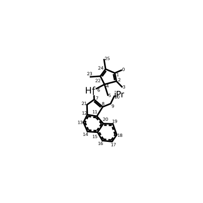 CC1=C(C)[C](C)([Hf][C]2=C(CC(C)C)c3c(ccc4ccccc34)C2)C(C)=C1C